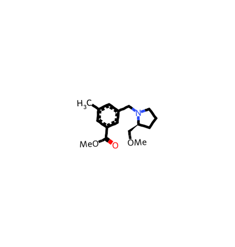 COC[C@@H]1CCCN1Cc1cc(C)cc(C(=O)OC)c1